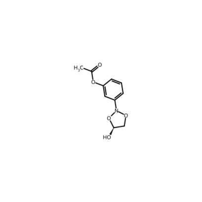 CC(=O)Oc1cccc(N2OC[C@@H](O)O2)c1